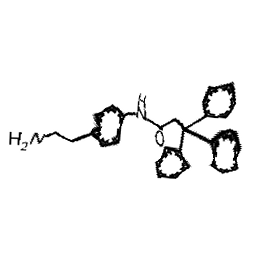 NCCc1ccc(NC(=O)CC(c2ccccc2)(c2ccccc2)c2ccccc2)cc1